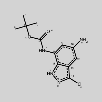 CC(C)(C)OC(=O)Nc1cc(N)cc2c(Cl)n[nH]c12